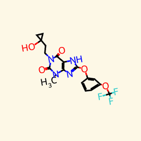 Cn1c(=O)n(CCC2(O)CC2)c(=O)c2[nH]c(Oc3cccc(OC(F)(F)F)c3)nc21